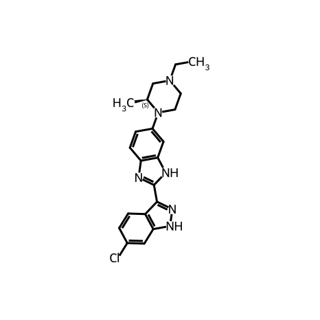 CCN1CCN(c2ccc3nc(-c4n[nH]c5cc(Cl)ccc45)[nH]c3c2)[C@@H](C)C1